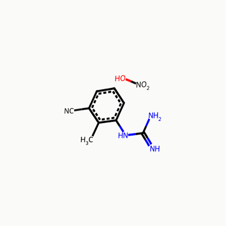 Cc1c(C#N)cccc1NC(=N)N.O=[N+]([O-])O